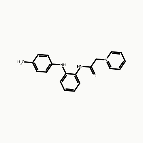 Cc1ccc(Nc2ccccc2NC(=O)C[n+]2ccccc2)cc1